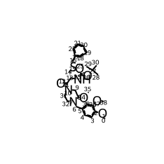 COc1ccc(CN2CCN(C(=O)[C@H](CSCc3ccccc3)NC(=O)OC(C)(C)C)CC2)c(OC)c1OC